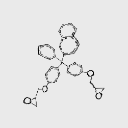 c1ccc(C(c2ccc(OCC3CO3)cc2)(c2ccc(OCC3CO3)cc2)c2ccc3ccccc3c2)cc1